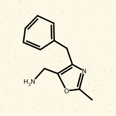 Cc1nc(Cc2ccccc2)c(CN)o1